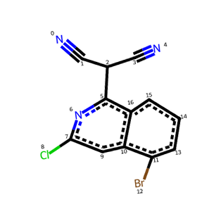 N#CC(C#N)c1nc(Cl)cc2c(Br)cccc12